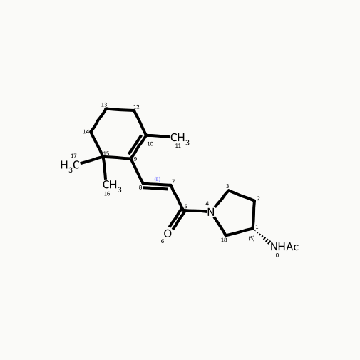 CC(=O)N[C@H]1CCN(C(=O)/C=C/C2=C(C)CCCC2(C)C)C1